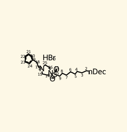 Br.CCCCCCCCCCCCCCCCCCS(=O)(=O)N1CCN(CCc2ccccc2)CC1